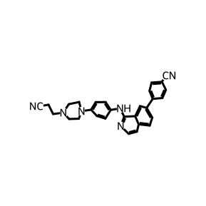 N#CCCN1CCN(c2ccc(Nc3nccc4ccc(-c5ccc(C#N)cc5)cc34)cc2)CC1